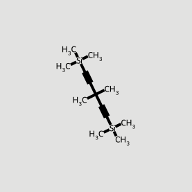 CC(C)(C#C[Si](C)(C)C)C#C[Si](C)(C)C